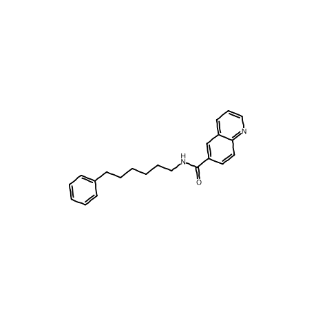 O=C(NCCCCCCc1ccccc1)c1ccc2ncccc2c1